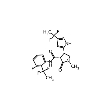 CN1C[C@H](c2cc(C(C)(F)F)n[nH]2)[C@@H](C(=O)Nc2cccc(F)c2C(C)(F)F)C1=O